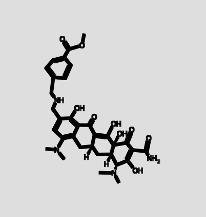 COC(=O)c1ccc(CNCc2cc(N(C)C)c3c(c2O)C(=O)C2=C(O)[C@]4(O)C(=O)C(C(N)=O)=C(O)[C@H](N(C)C)[C@@H]4C[C@@H]2C3)cc1